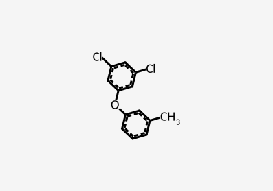 Cc1cccc(Oc2cc(Cl)cc(Cl)c2)c1